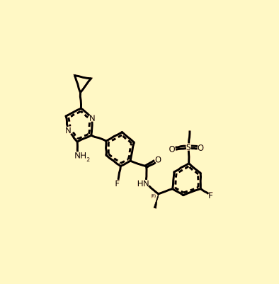 C[C@@H](NC(=O)c1ccc(-c2nc(C3CC3)cnc2N)cc1F)c1cc(F)cc(S(C)(=O)=O)c1